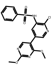 COc1ncc(-c2cnc(Cl)c(NS(=O)(=O)c3ccccc3)c2)c(OC)n1